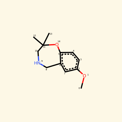 COc1ccc2c(c1)CNCC(C)(C)O2